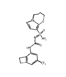 NS(=O)(=NC(=O)Nc1cc(C(F)(F)F)cc2c1CC2)c1cnn2c1OCCC2